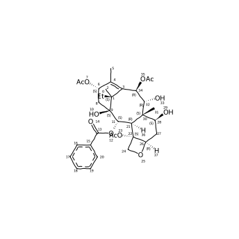 CC[C@@]1(C)C2=C(C)[C@@H](OC(C)=O)C[C@@]1(O)[C@@H](OC(=O)c1ccccc1)[C@@H]1[C@]3(OC(C)=O)CO[C@@H]3C[C@H](O)[C@@]1(C)[C@@H](O)[C@@H]2OC(C)=O